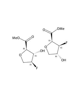 COC(=O)[C@@H]1OC[C@@H](O)[C@@H]1F.COC(=O)[C@@H]1OC[C@H](F)[C@H]1O